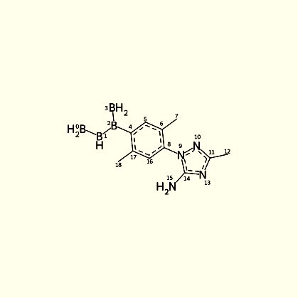 BBB(B)c1cc(C)c(-n2nc(C)nc2N)cc1C